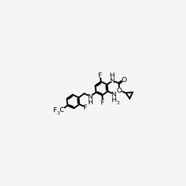 Nc1c(F)c(NCc2ccc(C(F)(F)F)cc2F)cc(F)c1NC(=O)OC1CC1